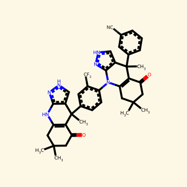 CC1(C)CC(=O)C2=C(C1)Nc1n[nH]cc1C2(C)c1ccc(N2C3=C(C(=O)CC(C)(C)C3)C(C)(c3cccc(C#N)c3)c3c[nH]nc32)c(C(F)(F)F)c1